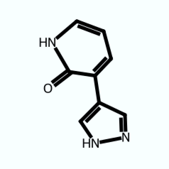 O=c1[nH]cccc1-c1cn[nH]c1